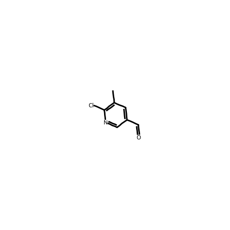 Cc1cc(C=O)cnc1Cl